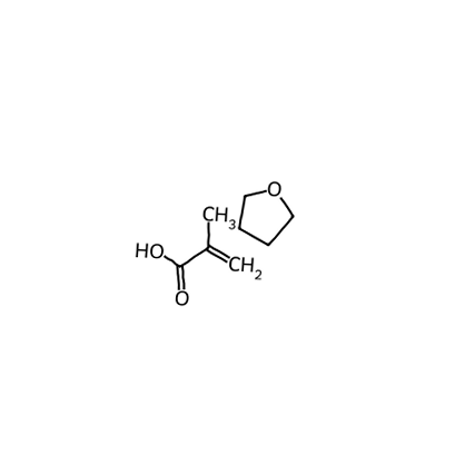 C1CCOC1.C=C(C)C(=O)O